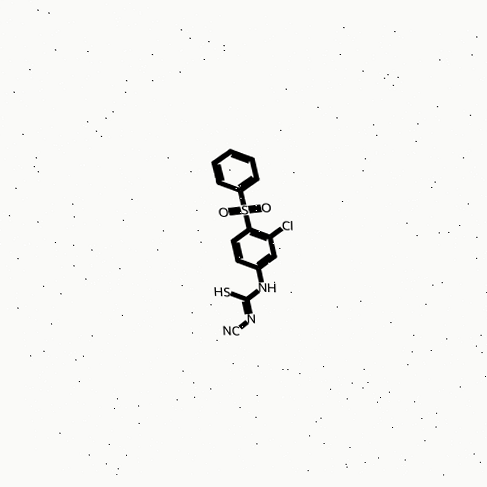 N#CN=C(S)Nc1ccc(S(=O)(=O)c2ccccc2)c(Cl)c1